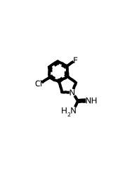 N=C(N)N1Cc2c(F)ccc(Cl)c2C1